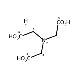 O=C(O)CN(CC(=O)O)CC(=O)O.[H+]